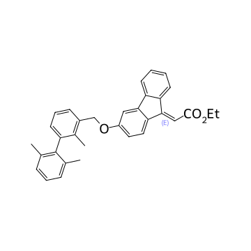 CCOC(=O)/C=C1\c2ccccc2-c2cc(OCc3cccc(-c4c(C)cccc4C)c3C)ccc21